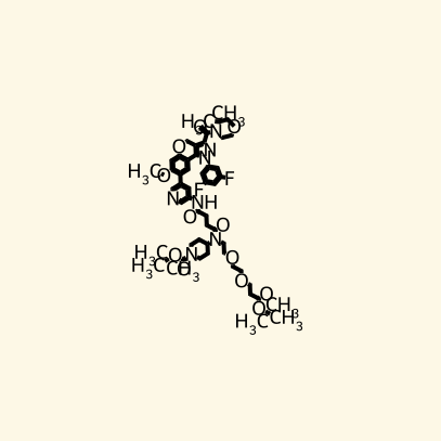 COc1cc2c(cc1-c1cncc(NC(=O)CCC(=O)N(CCOCCOCCC(=O)OC(C)(C)C)C3CCN(C(=O)OC(C)(C)C)CC3)c1)-c1c(c(C(=O)N3CCOCC3(C)C)nn1-c1cc(F)cc(F)c1)CO2